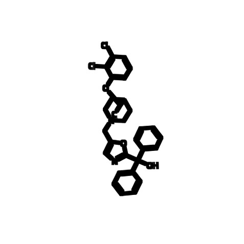 OC(c1ccccc1)(c1ccccc1)c1ncc(C[N+]23CCC(CC2)C(Oc2cccc(Cl)c2Cl)C3)o1